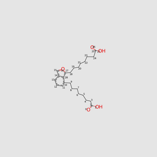 O=C(O)CCCCCCCc1cccc2coc(CCCCCCCC(=O)O)c12